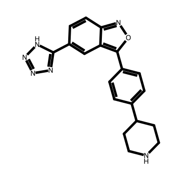 c1cc2noc(-c3ccc(C4CCNCC4)cc3)c2cc1-c1nnn[nH]1